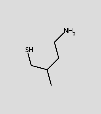 CC(CS)CCN